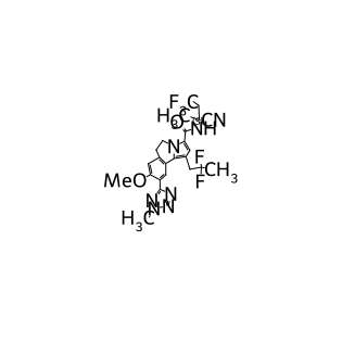 COc1cc2c(cc1-c1nnn(C)n1)-c1c(CC(C)(F)F)cc(C(=O)N[C@](C)(C#N)CC(F)(F)F)n1CC2